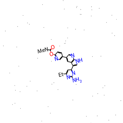 CCc1cc(-c2c[nH]c3ncc(-c4ccc(OC(=O)NC)nc4)cc23)nc(N)n1